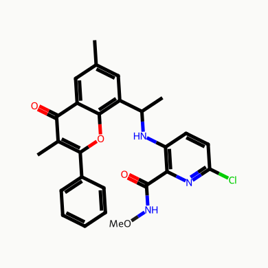 CONC(=O)c1nc(Cl)ccc1NC(C)c1cc(C)cc2c(=O)c(C)c(-c3ccccc3)oc12